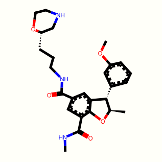 CNC(=O)c1cc(C(=O)NCCC[C@H]2CNCCO2)cc2c1O[C@H](C)[C@H]2c1cccc(OC)c1